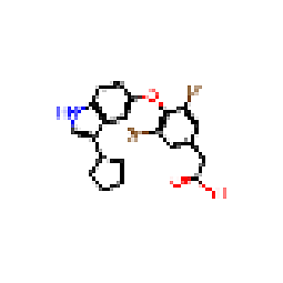 O=C(O)Cc1cc(Br)c(Oc2ccc3[nH]cc(C4CCCC4)c3c2)c(Br)c1